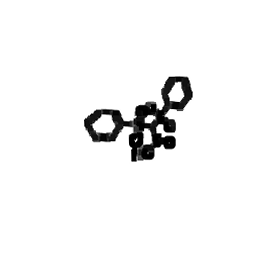 O=S(O)C(S(=O)(=O)c1ccccc1)S(=O)(=O)c1ccccc1